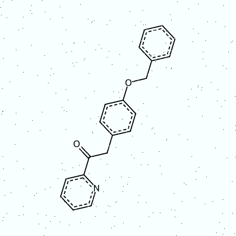 O=C(Cc1ccc(OCc2ccccc2)cc1)c1ccccn1